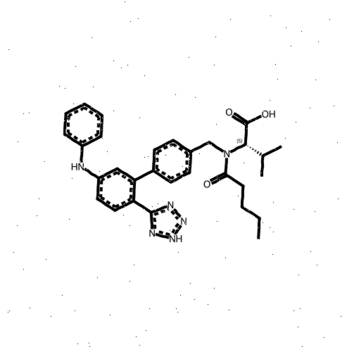 CCCCC(=O)N(Cc1ccc(-c2cc(Nc3ccccc3)ccc2-c2nn[nH]n2)cc1)[C@H](C(=O)O)C(C)C